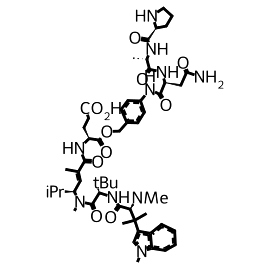 CN[C@H](C(=O)N[C@H](C(=O)N(C)[C@H](/C=C(\C)C(=O)N[C@@H](CCC(=O)O)C(=O)OCc1ccc(NC(=O)[C@H](CC(N)=O)NC(=O)[C@H](C)NC(=O)[C@@H]2CCCN2)cc1)C(C)C)C(C)(C)C)C(C)(C)c1cn(C)c2ccccc12